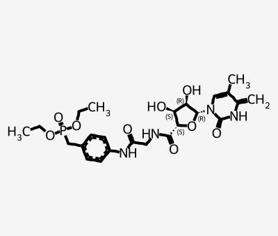 C=C1NC(=O)N([C@@H]2O[C@H](C(=O)NCC(=O)Nc3ccc(CP(=O)(OCC)OCC)cc3)[C@@H](O)[C@H]2O)C=C1C